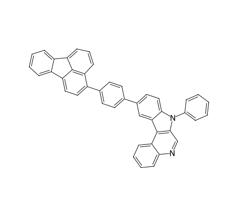 c1ccc(-n2c3ccc(-c4ccc(-c5ccc6c7c(cccc57)-c5ccccc5-6)cc4)cc3c3c4ccccc4ncc32)cc1